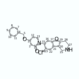 O=c1cc(OCc2ccccc2)ccn1-c1cc2oc3c(c2cc1Cl)CNCC3